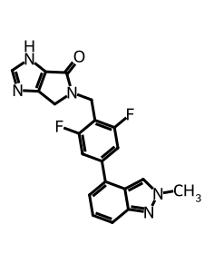 Cn1cc2c(-c3cc(F)c(CN4Cc5nc[nH]c5C4=O)c(F)c3)cccc2n1